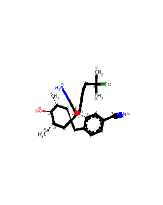 C[C@@H]1C[C@@]2(Cc3ccc(C#N)cc3[C@]23N=C(N)C(CC(C)(C)F)=N3)C[C@H](C)[C@H]1O